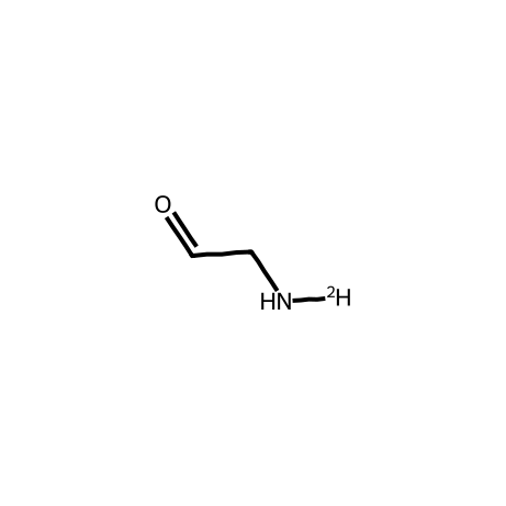 [2H]NCC=O